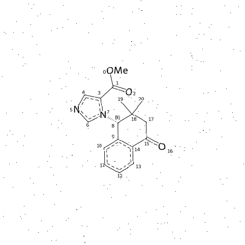 COC(=O)c1cncn1[C@H]1c2ccccc2C(=O)CC1(C)C